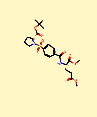 COC(=O)CC[C@H](NC(=O)c1ccc(S(=O)(=O)N2CCC[C@@H]2C(=O)OC(C)(C)C)cc1)C(=O)OC